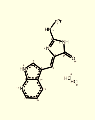 CCCNC1=NC(=Cc2c[nH]c3ncccc23)C(=O)N1.Cl.Cl